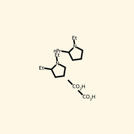 CC(=O)O.CC(=O)O.CCC1CCCN1CC.CCCC1CCCN1CC